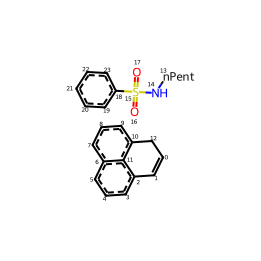 C1=Cc2cccc3cccc(c23)C1.CCCCCNS(=O)(=O)c1ccccc1